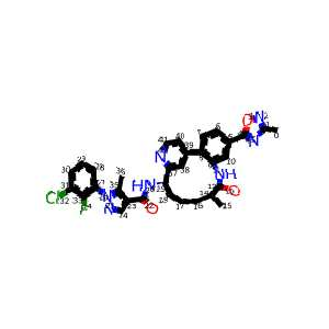 Cc1noc(-c2ccc3c(c2)NC(=O)C(C)CCC[C@H](NC(=O)c2cnn(-c4cccc(Cl)c4F)c2C)c2cc-3ccn2)n1